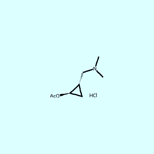 CC(=O)O[C@@H]1C[C@H]1CN(C)C.Cl